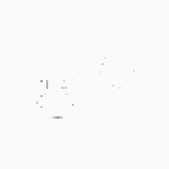 c1cnnc(OC2CCCCC2)c1